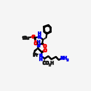 CC(C)C[C@@H](NC(=O)[C@@H](Cc1ccccc1)NC(=O)OC(C)(C)C)C(=O)N[C@H](CCCCN)C(=O)O